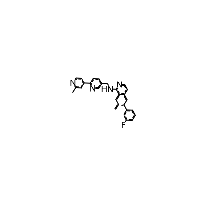 C=C/C=c1/c(NCc2ccc(-c3ccnc(C)c3)nc2)ncc/c1=C/C(C)c1cccc(F)c1